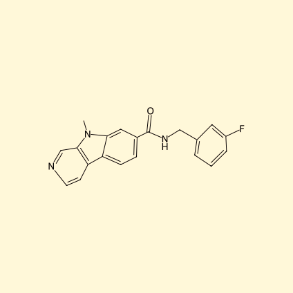 Cn1c2cnccc2c2ccc(C(=O)NCc3cccc(F)c3)cc21